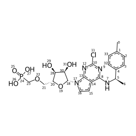 Cc1ccc([C@@H](C)Nc2nc(Cl)nc3c2ccn3[C@@H]2O[C@H](COCP(=O)(O)O)[C@@H](O)[C@H]2O)cc1